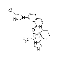 C[C@H](n1cnnc1-c1cccc(-n2ccc3ccc(-n4cnc(C5CC5)c4)cc3c2=O)n1)C(F)(F)F